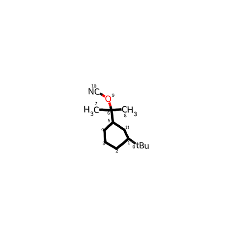 CC(C)(C)C1CCCC(C(C)(C)OC#N)C1